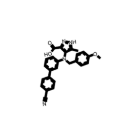 COc1ccc(CN(c2cccc(-c3ccc(C#N)cc3)c2)c2c(C(=O)O)n[nH]c2C)cc1